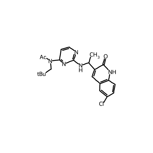 CC(=O)N(CC(C)(C)C)c1ccnc(NC(C)c2cc3cc(Cl)ccc3[nH]c2=O)n1